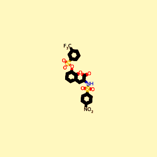 O=c1oc2c(OS(=O)(=O)c3cccc(C(F)(F)F)c3)cccc2cc1NS(=O)(=O)c1ccc([N+](=O)[O-])cc1